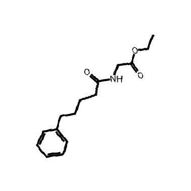 CCOC(=O)CNC(=O)CCCCc1ccccc1